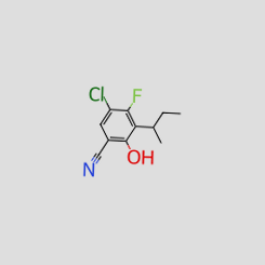 CCC(C)c1c(O)c(C#N)cc(Cl)c1F